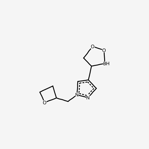 B1OOCC1c1cnn(CC2CCO2)c1